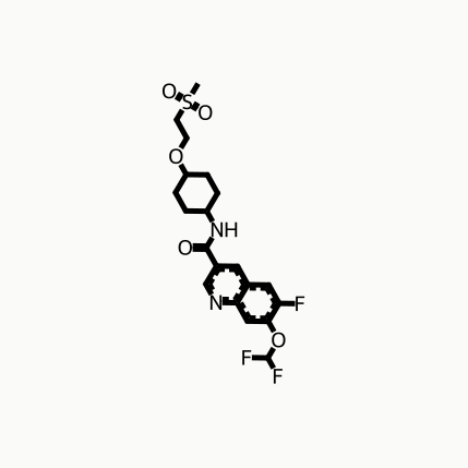 CS(=O)(=O)CCOC1CCC(NC(=O)c2cnc3cc(OC(F)F)c(F)cc3c2)CC1